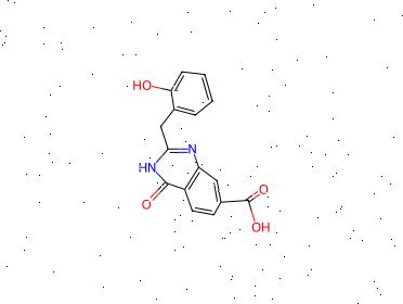 O=C(O)c1ccc2c(=O)[nH]c(Cc3ccccc3O)nc2c1